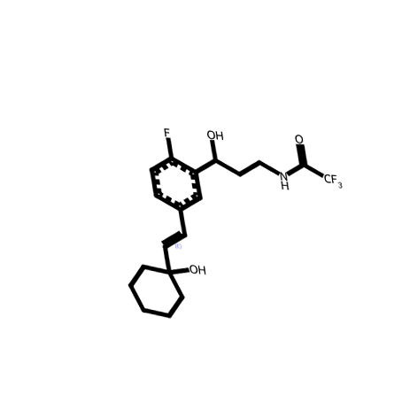 O=C(NCCC(O)c1cc(/C=C/C2(O)CCCCC2)ccc1F)C(F)(F)F